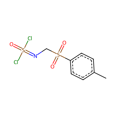 Cc1ccc(S(=O)(=O)CN=S(=O)(Cl)Cl)cc1